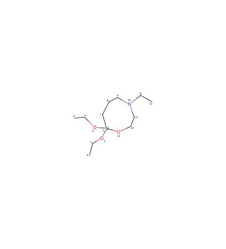 CCO[Si]1(OCC)CCCN(CC)CCO1